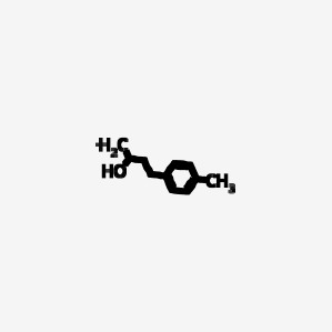 [CH2]C(O)CCc1ccc(C)cc1